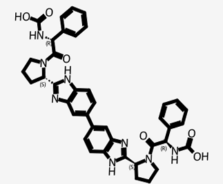 O=C(O)N[C@@H](C(=O)N1CCC[C@H]1c1nc2cc(-c3ccc4[nH]c([C@@H]5CCCN5C(=O)[C@H](NC(=O)O)c5ccccc5)nc4c3)ccc2[nH]1)c1ccccc1